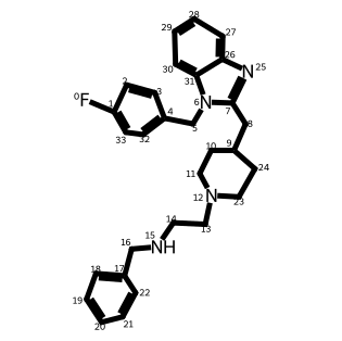 Fc1ccc(Cn2c(CC3CCN(CCNCc4ccccc4)CC3)nc3ccccc32)cc1